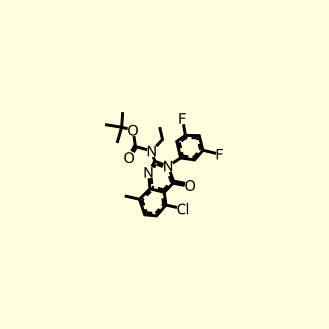 CCN(C(=O)OC(C)(C)C)c1nc2c(C)ccc(Cl)c2c(=O)n1-c1cc(F)cc(F)c1